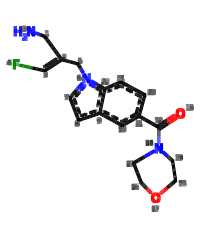 NCC(=CF)Cn1ccc2cc(C(=O)N3CCOCC3)ccc21